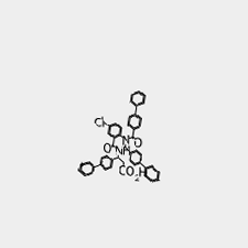 O=C(O)CC(NC(=O)c1cc(Cl)ccc1N(Cc1ccc(-c2ccccc2)cc1)C(=O)c1ccc(-c2ccccc2)cc1)c1ccc(-c2ccccc2)cc1